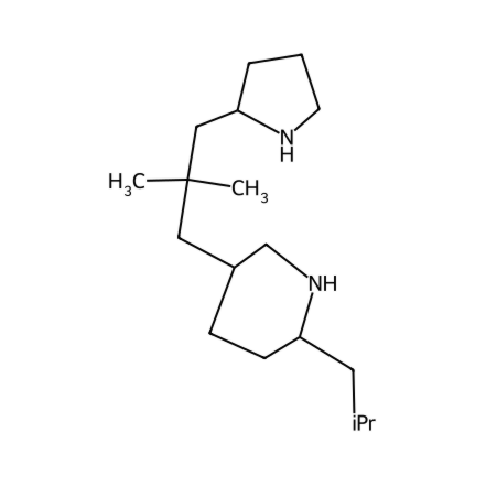 CC(C)CC1CCC(CC(C)(C)CC2CCCN2)CN1